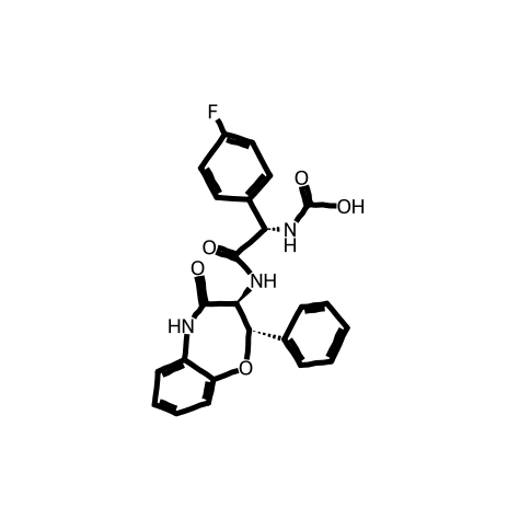 O=C(O)N[C@H](C(=O)N[C@@H]1C(=O)Nc2ccccc2O[C@H]1c1ccccc1)c1ccc(F)cc1